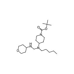 CCCCCN(CNC1CCOCC1)C1CCN(C(=O)OC(C)(C)C)CC1